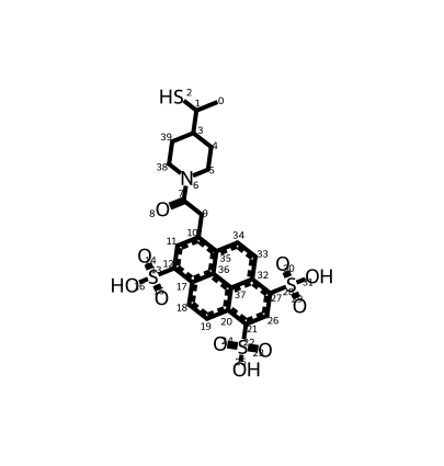 CC(S)C1CCN(C(=O)Cc2cc(S(=O)(=O)O)c3ccc4c(S(=O)(=O)O)cc(S(=O)(=O)O)c5ccc2c3c54)CC1